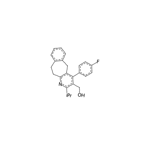 CC(C)c1nc2c(c(-c3ccc(F)cc3)c1CO)Cc1ccccc1CC2